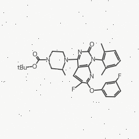 Cc1cccc(C)c1-n1c(=O)nc(N2CCN(C(=O)OC(C)(C)C)CC2C)c2cc(F)c(Oc3cccc(F)c3)nc21